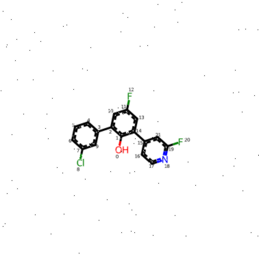 Oc1c(-c2cccc(Cl)c2)cc(F)cc1-c1ccnc(F)c1